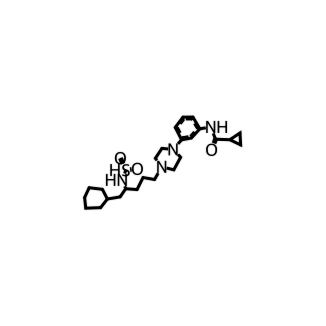 O=C(Nc1cccc(N2CCN(CCCC(CC3CCCCC3)N[SH](=O)=O)CC2)c1)C1CC1